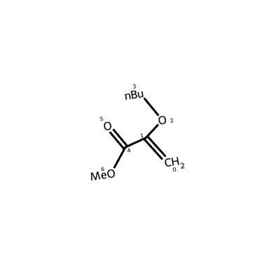 C=C(OCCCC)C(=O)OC